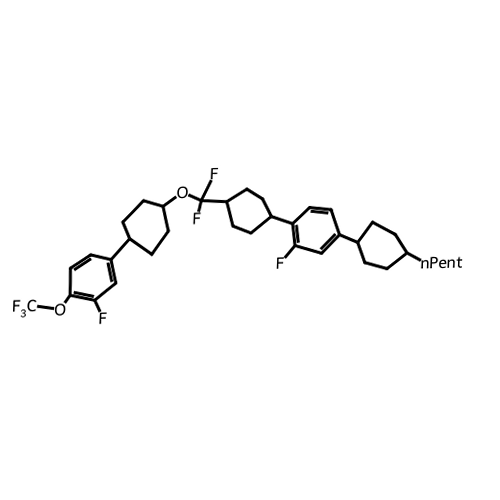 CCCCCC1CCC(c2ccc(C3CCC(C(F)(F)OC4CCC(c5ccc(OC(F)(F)F)c(F)c5)CC4)CC3)c(F)c2)CC1